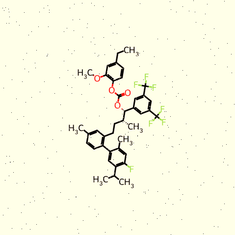 CCc1ccc(OC(=O)O[C@H](c2cc(C(F)(F)F)cc(C(F)(F)F)c2)[C@H](C)CCc2cc(C)ccc2-c2cc(C(C)C)c(F)cc2C)c(OC)c1